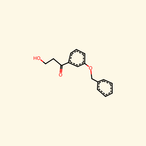 O=C(CCO)c1cccc(OCc2ccccc2)c1